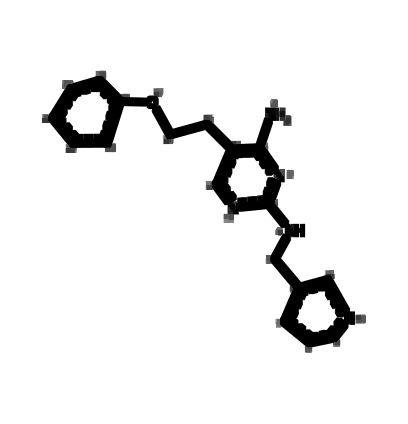 Nc1nc(NCc2cccnc2)ncc1CCOc1ccccc1